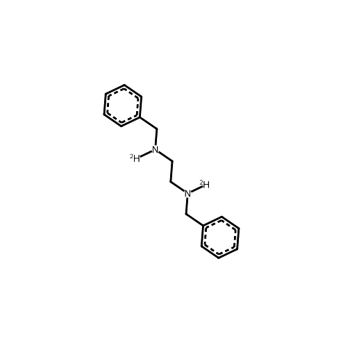 [2H]N(CCN([2H])Cc1ccccc1)Cc1ccccc1